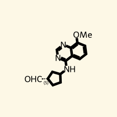 COc1cccc2c(NC3CC[C@H](C=O)C3)ncnc12